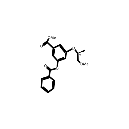 COC[C@H](C)Oc1cc(OC(=O)c2ccccc2)cc(C(=O)OC)c1